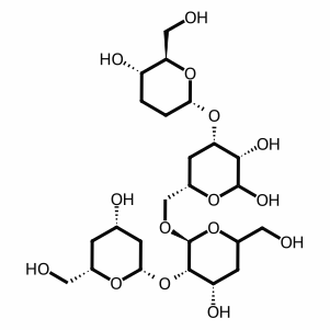 OCC1C[C@H](O)[C@H](O[C@H]2C[C@@H](O)C[C@@H](CO)O2)[C@@H](OC[C@@H]2C[C@H](O[C@@H]3CC[C@H](O)[C@@H](CO)O3)[C@H](O)C(O)O2)O1